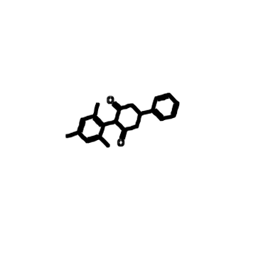 Cc1cc(C)c(C2C(=O)CC(c3ccccc3)CC2=O)c(C)c1